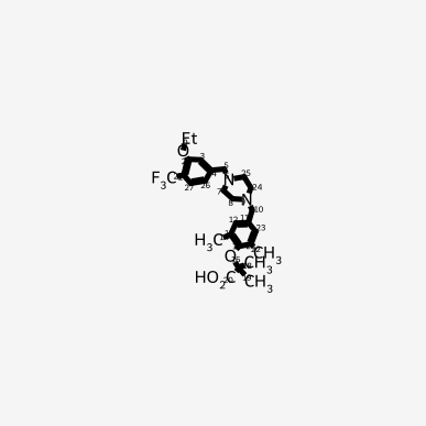 CCOc1cc(CN2CCN(Cc3cc(C)c(OC(C)(C)C(=O)O)c(C)c3)CC2)ccc1C(F)(F)F